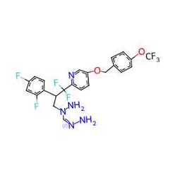 N/N=C\N(N)CC(c1ccc(F)cc1F)C(F)(F)c1ccc(OCc2ccc(OC(F)(F)F)cc2)cn1